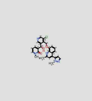 Cc1cc(-c2ccnn2C)c2cccc(OCc3c(Cl)cncc3C(O)c3cccn(C)c3=O)c2n1